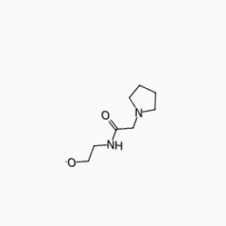 [O]CCNC(=O)CN1CCCC1